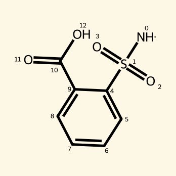 [NH]S(=O)(=O)c1ccccc1C(=O)O